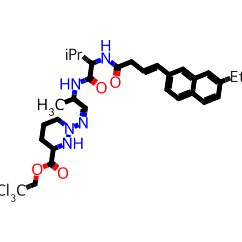 CCc1ccc2ccc(/C=C/CC(=O)NC(C(=O)NC(C)/C=N\N3CCCC(C(=O)OCC(Cl)(Cl)Cl)N3)C(C)C)cc2c1